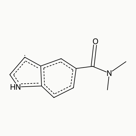 CN(C)C(=O)c1ccc2[nH]c[c]c2c1